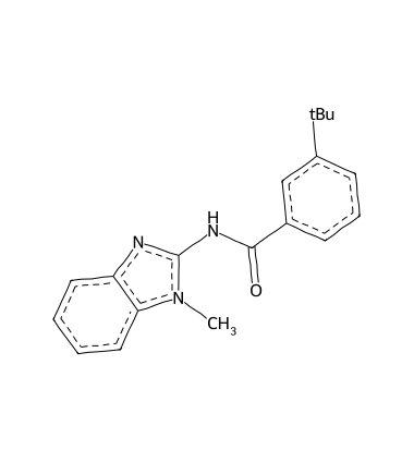 Cn1c(NC(=O)c2cccc(C(C)(C)C)c2)nc2ccccc21